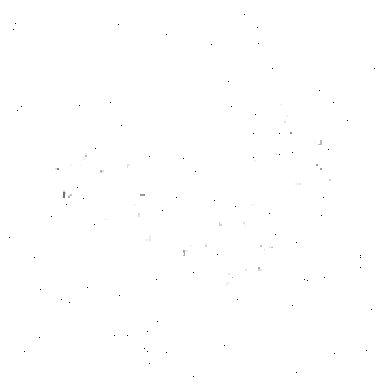 Cn1[nH]c(=O)c2ccc(-c3cc(NCCc4ccc5cc[nH]c5c4)ncn3)cc21